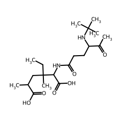 CCC(C)(CC(C)C(=O)O)C(NC(=O)CCC(NC(C)(C)C)C(C)=O)C(=O)O